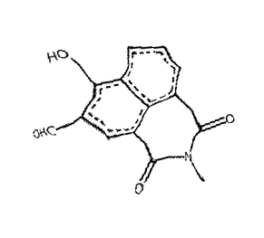 CN1C(=O)c2cccc3c(O)c(C=O)cc(c23)C1=O